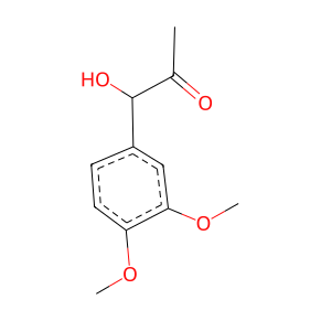 COc1ccc(C(O)C(C)=O)cc1OC